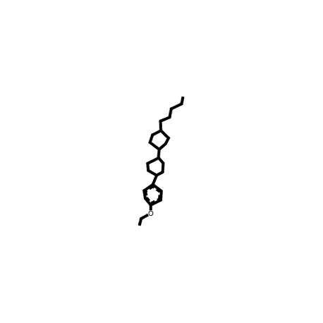 CCCCCC1CCC(C2CCC(c3ccc(OCC)cc3)CC2)CC1